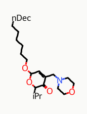 CCCCCCCCCCCCCCCCOC1C=C(CN2CCOCC2)C(=O)C(C(C)C)O1